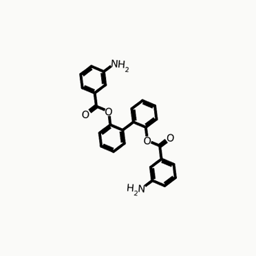 Nc1cccc(C(=O)Oc2ccccc2-c2ccccc2OC(=O)c2cccc(N)c2)c1